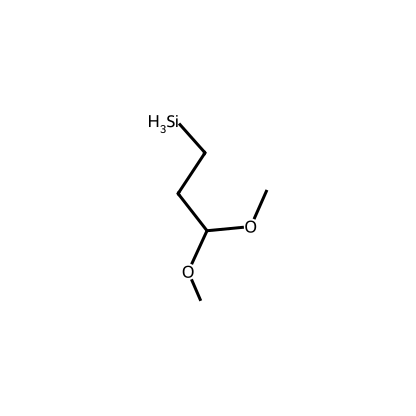 COC(CC[SiH3])OC